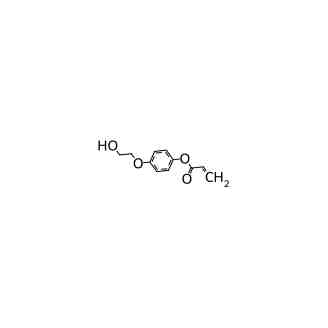 C=CC(=O)Oc1ccc(OCCO)cc1